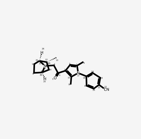 Cc1cc(C(=O)CN2[C@@H]3CC[C@H]2[C@H](C)C3)c(C)n1-c1ccc(C#N)cc1